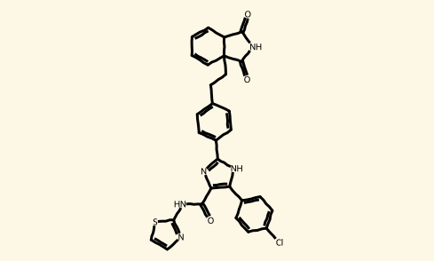 O=C(Nc1nccs1)c1nc(-c2ccc(CCC34C=CC=CC3C(=O)NC4=O)cc2)[nH]c1-c1ccc(Cl)cc1